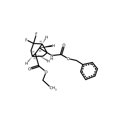 CCOC(=O)[C@H]1[C@H]2CC[C@@H]([C@@H]1NC(=O)OCc1ccccc1)C(F)(F)C2